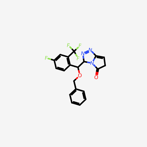 O=C1CC=C2N=NC(C(OCc3ccccc3)c3ccc(F)cc3C(F)(F)F)N12